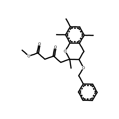 COC(=O)CC(=O)CC1(C)Oc2c(C)c(C)cc(C)c2CC1OCc1ccccc1